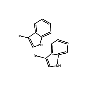 Brc1c[nH]c2ccccc12.Brc1c[nH]c2ccccc12